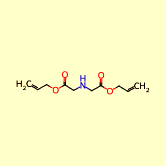 C=CCOC(=O)CNCC(=O)OCC=C